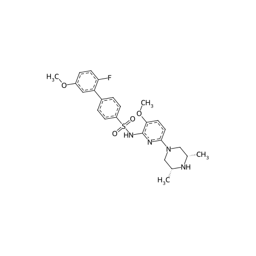 COc1ccc(F)c(-c2ccc(S(=O)(=O)Nc3nc(N4C[C@@H](C)N[C@@H](C)C4)ccc3OC)cc2)c1